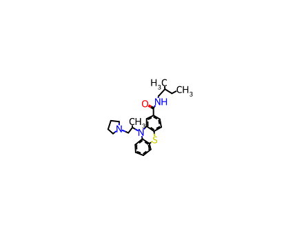 CCC(C)CNC(=O)c1ccc2c(c1)N(C(C)CN1CCCC1)c1ccccc1S2